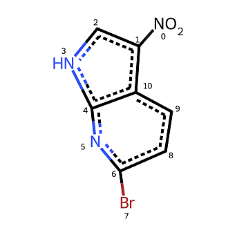 O=[N+]([O-])c1c[nH]c2nc(Br)ccc12